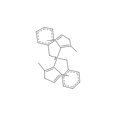 CC1=CCC(C)=[C]1[Zr]([CH2]c1ccccc1)([CH2]c1ccccc1)[C]1=C(C)CC=C1C